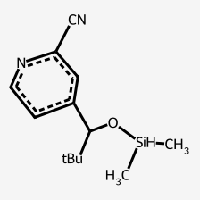 C[SiH](C)OC(c1ccnc(C#N)c1)C(C)(C)C